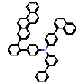 c1ccc(-c2cccc(N(c3ccc(-c4ccccc4-c4ccc5c(ccc6c7ccccc7ccc56)c4)cc3)c3ccc(-c4cccc5ccccc45)cc3)c2)cc1